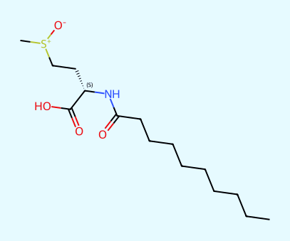 CCCCCCCCCC(=O)N[C@@H](CC[S+](C)[O-])C(=O)O